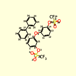 O=S(=O)(Oc1cccc(Oc2cccc(OS(=O)(=O)C(F)(F)F)c2)c1)C(F)(F)F.c1ccc(-c2ccccc2)cc1